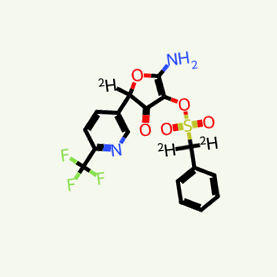 [2H]C1(c2ccc(C(F)(F)F)nc2)OC(N)=C(OS(=O)(=O)C([2H])([2H])c2ccccc2)C1=O